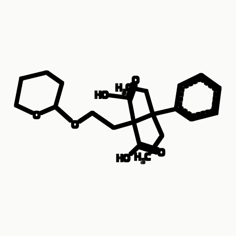 CCC(CC)(c1ccccc1)C(CCOC1CCCCO1)(C(=O)O)C(=O)O